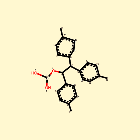 Cc1ccc(C(OB(O)O)C(c2ccc(C)cc2)c2ccc(C)cc2)cc1